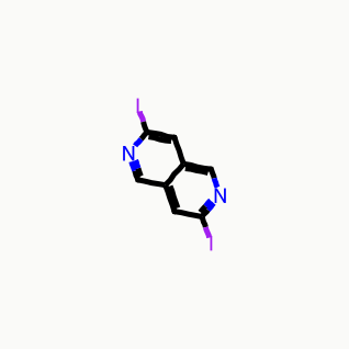 Ic1cc2cnc(I)cc2cn1